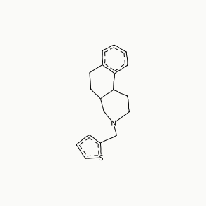 c1csc(CN2CCC3c4ccccc4CCC3C2)c1